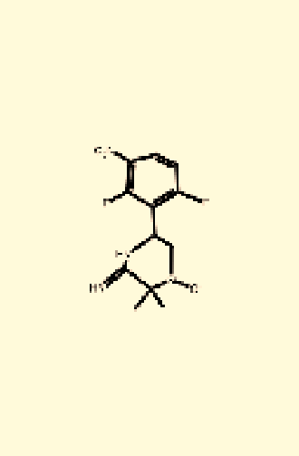 CC1(C)C(=N)NC(c2c(F)ccc([N+](=O)[O-])c2F)C[S+]1[O-]